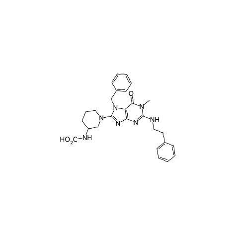 Cn1c(NCCc2ccccc2)nc2nc(N3CCCC(NC(=O)O)C3)n(Cc3ccccc3)c2c1=O